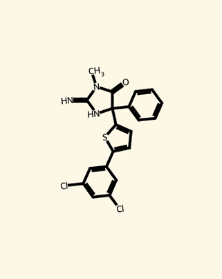 CN1C(=N)NC(c2ccccc2)(c2ccc(-c3cc(Cl)cc(Cl)c3)s2)C1=O